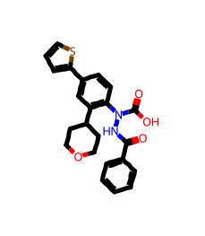 O=C(NN(C(=O)O)c1ccc(-c2cccs2)cc1C1CCOCC1)c1ccccc1